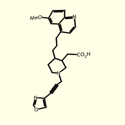 COc1ccc2nccc(CCCC3CCN(CC#Cc4cocn4)CC3CC(=O)O)c2c1